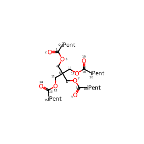 CCCC(C)C(=O)OCC(COC(=O)C(C)CCC)(COC(=O)C(C)CCC)COC(=O)C(C)CCC